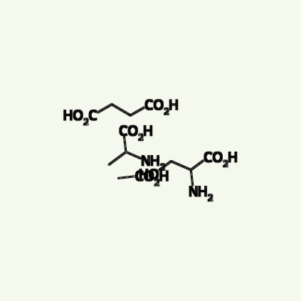 CC(=O)O.CC(N)C(=O)O.NC(CO)C(=O)O.O=C(O)CCC(=O)O